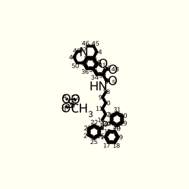 CS(=O)(=O)[O-].O=C(NCCCCCC[P+](c1ccccc1)(c1ccccc1)c1ccccc1)c1cc2cc3c4c(c2oc1=O)CCCN4CCC3